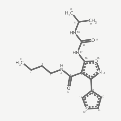 CCCCNC(=O)c1c(-c2ccsc2)noc1NC(=O)NC(C)C